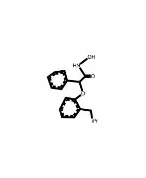 CC(C)Cc1ccccc1OC(C(=O)NO)c1ccccc1